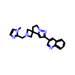 Cn1ccnc1CN1CC2(CCn3nc(-c4cnc5ccccc5c4)cc32)C1